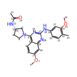 COc1ccc2c(N3CC[C@H](NC(C)=O)C3)nc(Nc3ccc(C)c(OC)c3)nc2c1